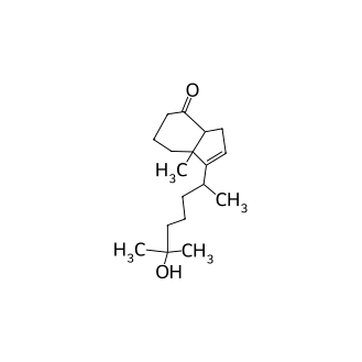 CC(CCCC(C)(C)O)C1=CCC2C(=O)CCCC12C